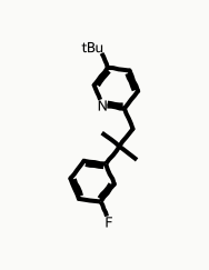 CC(C)(C)c1ccc(CC(C)(C)c2cccc(F)c2)nc1